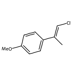 COc1ccc(C(C)=CCl)cc1